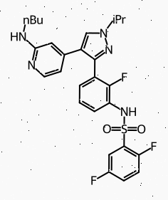 CCCCNc1cc(-c2cn(C(C)C)nc2-c2cccc(NS(=O)(=O)c3cc(F)ccc3F)c2F)ccn1